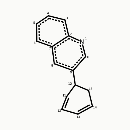 [c]1nc2ccccc2cc1C1C=CC=CC1